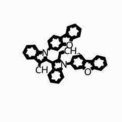 C=Cc1c(-c2c(C)c3ccccc3n2-c2ccc3c(c2)oc2ccccc23)c2ccccc2n1-c1ccc2c(c1)oc1ccccc12